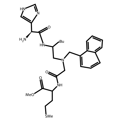 CCC(C)C(CN(CC(=O)NC(CCSC)C(=O)OC)Cc1cccc2ccccc12)NC(=O)[C@@H](N)c1c[nH]cn1